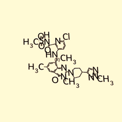 Cc1cc([C@@H](C)Nc2ccc(Cl)nc2C(=O)NS(C)(=O)=O)c2nc(N3CCC(c4cnn(C)n4)CC3)n(C)c(=O)c2c1